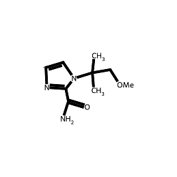 COCC(C)(C)n1c[c]nc1C(N)=O